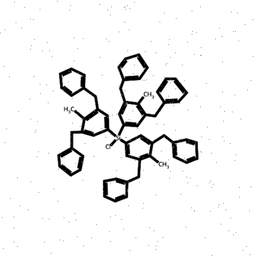 Cc1c(Cc2ccccc2)cc([Si](Cl)(c2cc(Cc3ccccc3)c(C)c(Cc3ccccc3)c2)c2cc(Cc3ccccc3)c(C)c(Cc3ccccc3)c2)cc1Cc1ccccc1